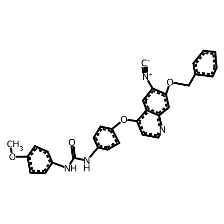 [C-]#[N+]c1cc2c(Oc3ccc(NC(=O)Nc4ccc(OC)cc4)cc3)ccnc2cc1OCc1ccccc1